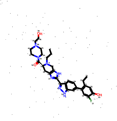 CCCN1Cc2[nH]c(-c3n[nH]c4cc(-c5cc(F)c(O)cc5CC)ccc34)nc2C[C@H]1C(=O)N1CCN(CCO)CC1